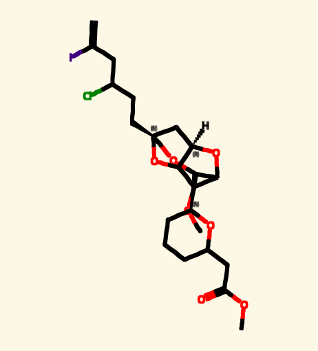 C=C(I)CC(Cl)CC[C@]12C[C@H]3OC(C(OC)C3O1)C([C@@H]1CCCC(CC(=O)OC)O1)O2